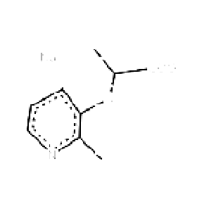 Cc1ncccc1SC(C)C(=O)[O-].[Na+]